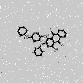 O=C1c2ccccc2C(=O)c2c(Nc3ccc(Nc4ccccc4)cc3)c(Oc3ccccc3)cc(O)c21